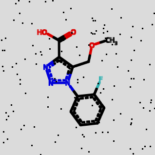 COCc1c(C(=O)O)nnn1-c1ccccc1F